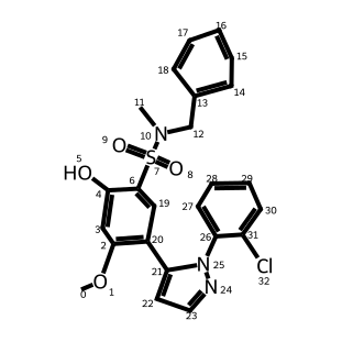 COc1cc(O)c(S(=O)(=O)N(C)Cc2ccccc2)cc1-c1ccnn1-c1ccccc1Cl